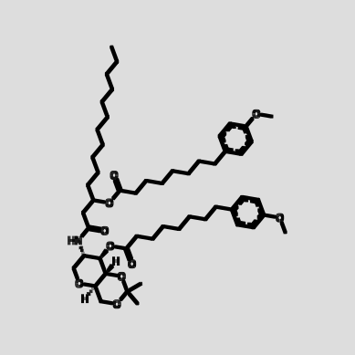 CCCCCCCCCCCC(CC(=O)N[C@H]1CO[C@@H]2COC(C)(C)O[C@H]2[C@@H]1OC(=O)CCCCCCCc1ccc(OC)cc1)OC(=O)CCCCCCCc1ccc(OC)cc1